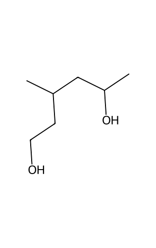 CC(O)CC(C)CCO